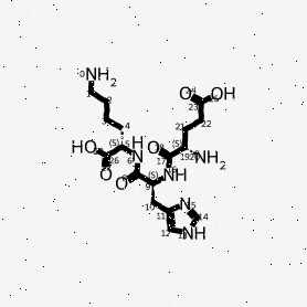 NCCCC[C@H](NC(=O)[C@H](Cc1c[nH]cn1)NC(=O)[C@@H](N)CCC(=O)O)C(=O)O